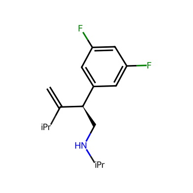 C=C(C(C)C)[C@H](CNC(C)C)c1cc(F)cc(F)c1